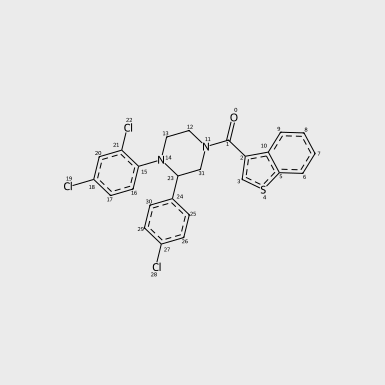 O=C(c1csc2ccccc12)N1CCN(c2ccc(Cl)cc2Cl)C(c2ccc(Cl)cc2)C1